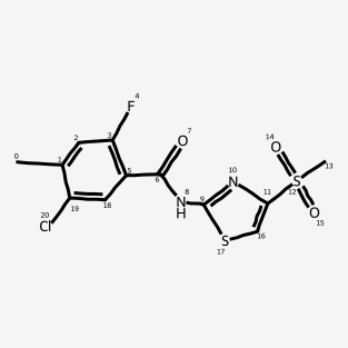 Cc1cc(F)c(C(=O)Nc2nc(S(C)(=O)=O)cs2)cc1Cl